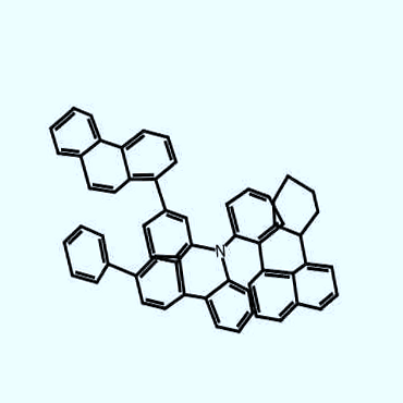 c1ccc(-c2ccc(-c3ccccc3N(c3cccc(-c4cccc5c4ccc4ccccc45)c3)c3ccccc3-c3cccc4cccc(C5CCCCC5)c34)cc2)cc1